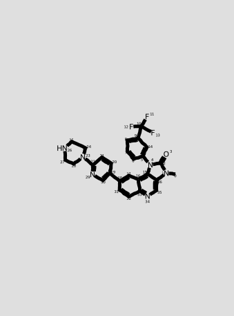 Cn1c(=O)n(-c2cccc(C(F)(F)F)c2)c2c3cc(-c4ccc(N5CCNCC5)nc4)ccc3ncc21